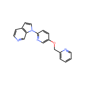 c1ccc(COc2ccc(-n3ccc4ccncc43)nc2)nc1